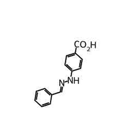 O=C(O)c1ccc(NN=Cc2ccccc2)cc1